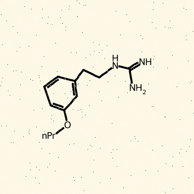 CCCOc1cccc(CCNC(=N)N)c1